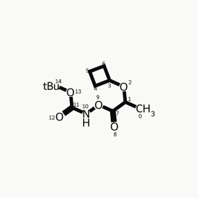 CC(OC1CCC1)C(=O)ONC(=O)OC(C)(C)C